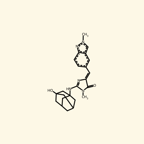 CN1C(=O)/C(=C/c2ccc3nn(C)cc3c2)N=C1NC12CC3CC(CC(O)(C3)C1)C2